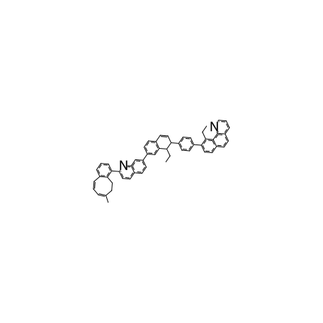 CCc1c(-c2ccc(C3C=Cc4ccc(-c5ccc6ccc(-c7cccc8c7CC/C(C)=C\C=C/8)nc6c5)cc4C3CC)cc2)ccc2ccc3cccnc3c12